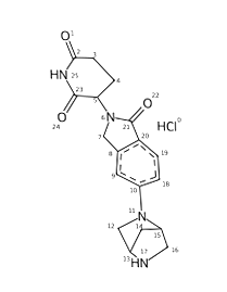 Cl.O=C1CCC(N2Cc3cc(N4CC5CC4CN5)ccc3C2=O)C(=O)N1